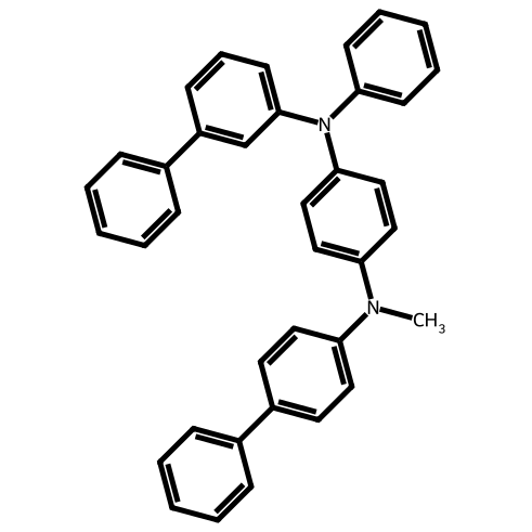 CN(c1ccc(-c2ccccc2)cc1)c1ccc(N(c2ccccc2)c2cccc(-c3ccccc3)c2)cc1